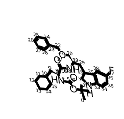 CC(C)(C)OC(=O)N[C@@H](CC1CCCCC1)C(=O)N[C@@H](COCc1ccccc1)CC1CNc2ccc(F)cc21